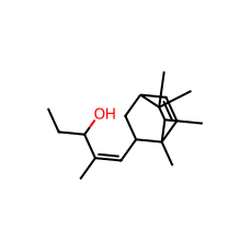 CCC(O)C(C)=CC1CC2C=CC1(C)C(C)C2(C)C